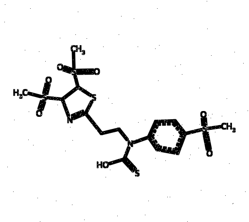 CS(=O)(=O)c1ccc(N(CCC2=NC(S(C)(=O)=O)C(S(C)(=O)=O)S2)C(O)=S)cc1